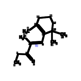 CCC(=O)/C(C)=C/C1=C(C)CCCC1(C)C